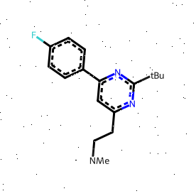 CNCCc1cc(-c2ccc(F)cc2)nc(C(C)(C)C)n1